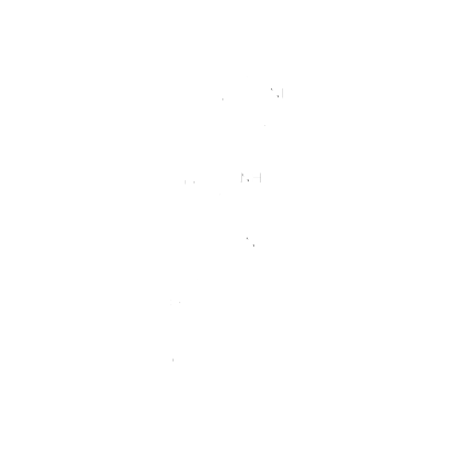 O=C(NC1CC2CNC1C2)c1cc2oc(C(F)(F)F)cc2cn1